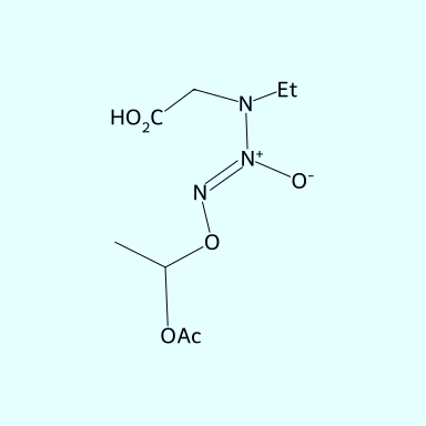 CCN(CC(=O)O)[N+]([O-])=NOC(C)OC(C)=O